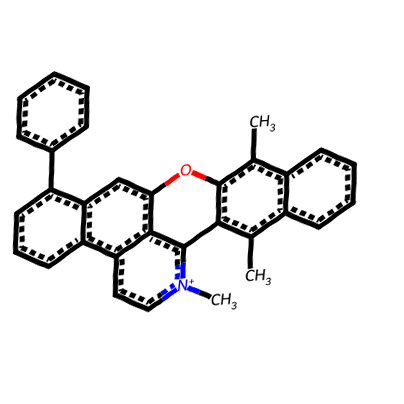 Cc1c2c(c(C)c3ccccc13)-c1c3c(cc4c(-c5ccccc5)cccc4c3cc[n+]1C)O2